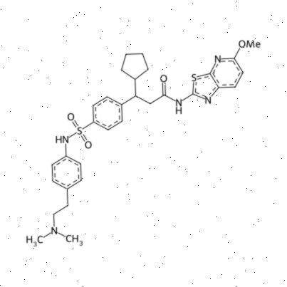 COc1ccc2nc(NC(=O)CC(c3ccc(S(=O)(=O)Nc4ccc(CCN(C)C)cc4)cc3)C3CCCC3)sc2n1